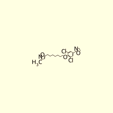 Cc1cc(CCCCCCCOc2c(Cl)cc(C3=NCCO3)cc2Cl)on1